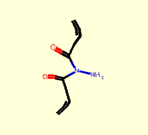 C=CC(=O)N(N)C(=O)C=C